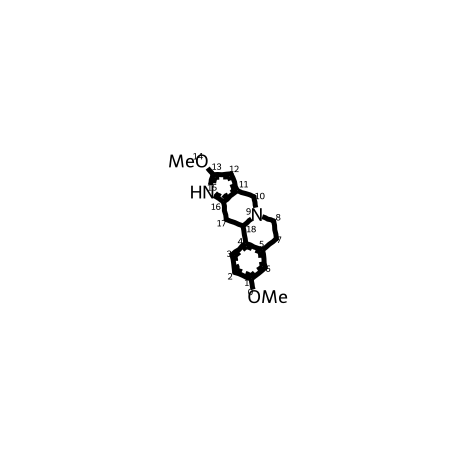 COc1ccc2c(c1)CCN1Cc3cc(OC)[nH]c3CC21